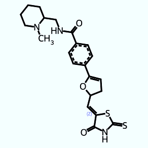 CN1CCCCC1CNC(=O)c1ccc(C2=CCC(/C=C3\SC(=S)NC3=O)O2)cc1